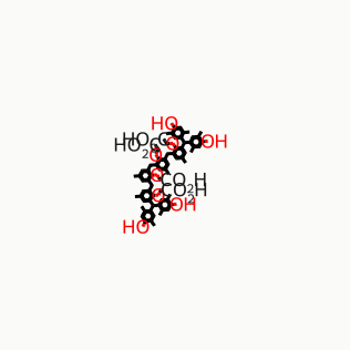 Cc1cc(Cc2cc(C)cc(Cc3cc(C)cc(C(c4cc(C)c(O)cc4C)c4cc(C)c(O)cc4C)c3OCC(=O)O)c2OCC(=O)O)c(OCC(=O)O)c(Cc2cc(C)cc(C(c3cc(C)c(O)cc3C)c3cc(C)c(O)cc3C)c2OCC(=O)O)c1